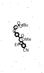 CCn1c(CC(C(=O)OC)c2ccc(O[C@H]3CCN(C(=O)OC(C)(C)C)C3)cc2)cc2ccc(C#N)cc21